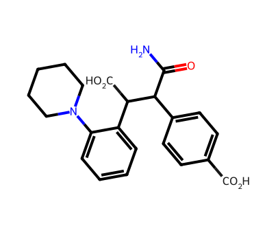 NC(=O)C(c1ccc(C(=O)O)cc1)C(C(=O)O)c1ccccc1N1CCCCC1